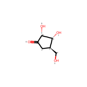 O=C1C[C@H](CO)[C@@H](O)[C@H]1O